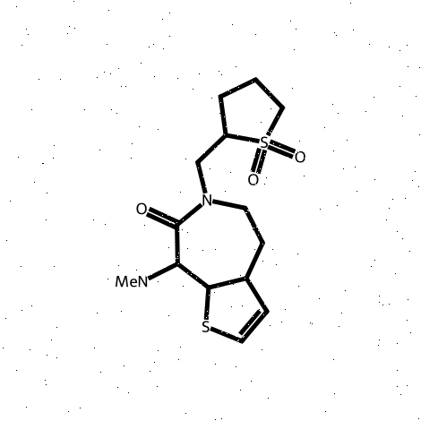 CNC1C(=O)N(CC2CCCS2(=O)=O)CCC2C=CSC21